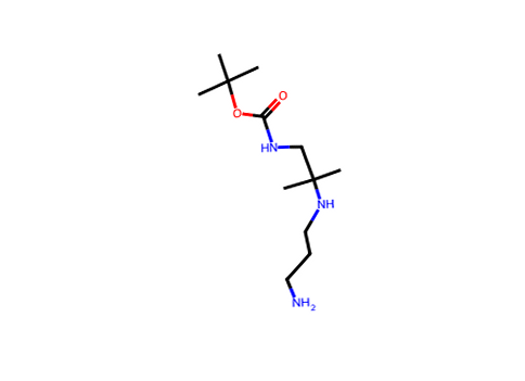 CC(C)(CNC(=O)OC(C)(C)C)NCCCN